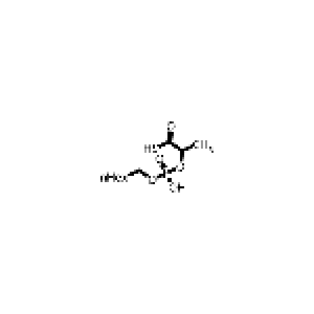 CCCCCCCOP(=O)(O)OC(C)C(=O)S